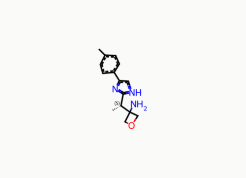 Cc1ccc(-c2c[nH]c([C@@H](C)C3(N)COC3)n2)cc1